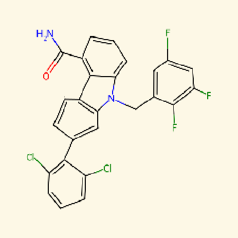 NC(=O)c1cccc2c1c1[c]cc(-c3c(Cl)cccc3Cl)cc1n2Cc1cc(F)cc(F)c1F